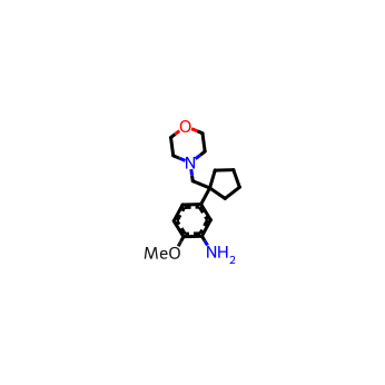 COc1ccc(C2(CN3CCOCC3)CCCC2)cc1N